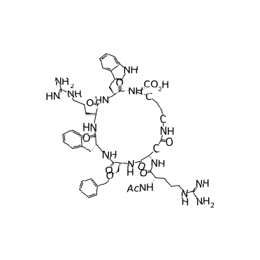 CC(=O)N[C@@H](CCCNC(=N)N)C(=O)N[C@H]1CC(=O)NCCCC[C@@H](C(=O)O)NC(=O)[C@H](Cc2c[nH]c3ccccc23)NC(=O)[C@H](CCCNC(=N)N)NC(=O)[C@@H](Cc2ccccc2)NC(=O)[C@H](COCc2ccccc2)NC1=O